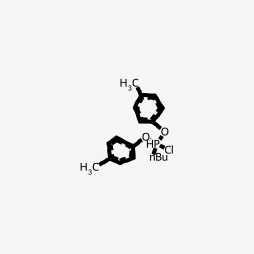 CCCC[PH](Cl)(Oc1ccc(C)cc1)Oc1ccc(C)cc1